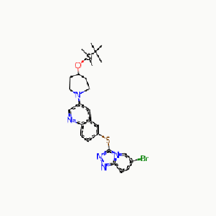 CC(C)(C)[Si](C)(C)OC1CCN(c2cnc3ccc(Sc4nnc5ccc(Br)cn45)cc3c2)CC1